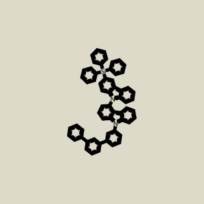 c1ccc(-c2cccc(-c3cccc(-n4c5ccccc5c5c(-n6c7ccccc7c7cc([Si](c8ccccc8)(c8ccccc8)c8ccccc8)ccc76)cccc54)c3)c2)cc1